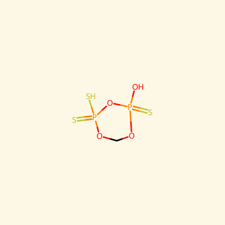 OP1(=S)OCOP(=S)(S)O1